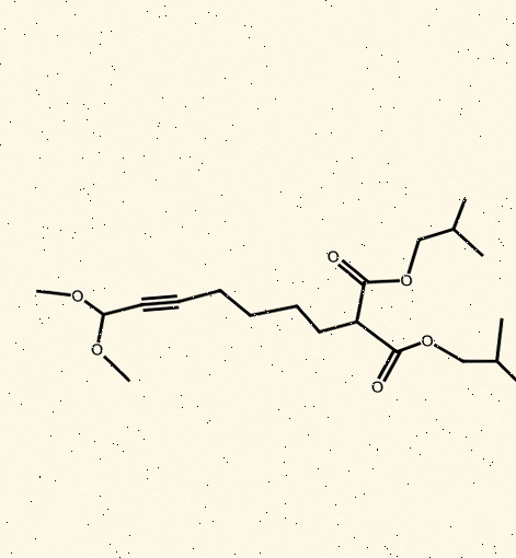 COC(C#CCCCCC(C(=O)OCC(C)C)C(=O)OCC(C)C)OC